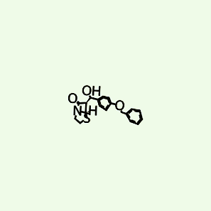 O=C1[C@@H](C(O)c2ccc(OCc3ccccc3)cc2)[C@H]2SCCN12